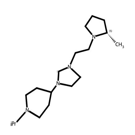 CC(C)N1CCC(N2[C]N(CCN3CCC[C@@H]3C)CC2)CC1